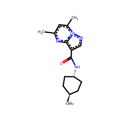 Cc1cc(C)n2ncc(C(=O)N[C@H]3CC[C@H](OCC(C)C)CC3)c2n1